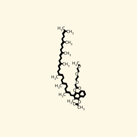 COCCOCCOCC(=O)Oc1c(C/C=C(\C)CC/C=C(\C)CC/C=C(\C)CC/C=C(\C)CC/C=C(\C)CC/C=C(\C)CCC=C(C)C)c(C)c(OC(C)=O)c2ccccc12